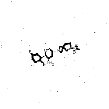 CS(=O)(=O)N1CCC2(CN([C@H]3CO[C@H](c4cc(F)ccc4F)[C@@H](N)C3)C2)C1